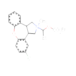 CCOC(=O)OC(CC)[N+]1(C)CC2c3ccccc3Oc3ccc(Cl)cc3C2C1